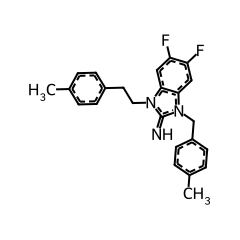 Cc1ccc(CCn2c(=N)n(Cc3ccc(C)cc3)c3cc(F)c(F)cc32)cc1